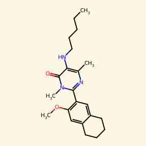 CCCCCNc1c(C)nc(-c2cc3c(cc2OC)CCCC3)n(C)c1=O